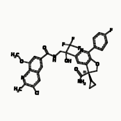 COc1cc(C(=O)NCC(O)(c2cc3c(c(-c4ccc(F)cc4)n2)OC[C@@]3(C(N)=O)C2CC2)C(F)(F)F)cc2cc(Cl)c(C)nc12